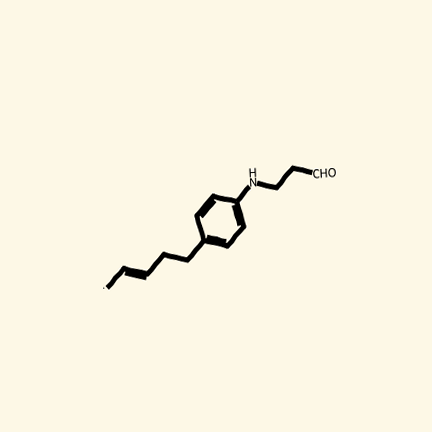 [CH2]C=CCCc1ccc(NCCC=O)cc1